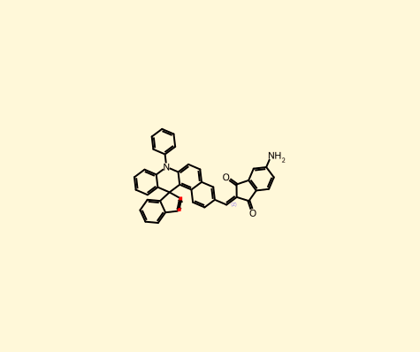 Nc1ccc2c(c1)C(=O)/C(=C\c1ccc3c4c(ccc3c1)N(c1ccccc1)c1ccccc1C41c3ccccc3-c3ccccc31)C2=O